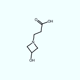 O=C(O)CCN1CC(O)C1